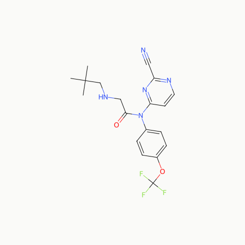 CC(C)(C)CNCC(=O)N(c1ccc(OC(F)(F)F)cc1)c1ccnc(C#N)n1